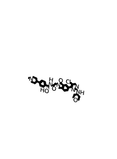 CN1CCC(c2ccc([C@@H](CO)NC(=O)CN3Cc4ccc(-c5nc(NC6CCOCC6)ncc5Cl)cc4C3=O)cc2)CC1